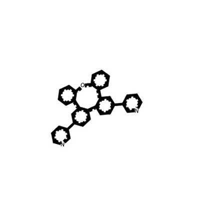 c1cncc(-c2ccc3c(c2)c2ccccc2oc2ccccc2c2cc(-c4cccnc4)ccc23)c1